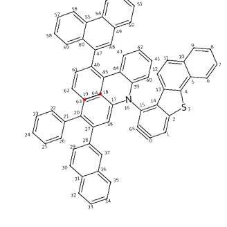 c1cc2sc3c4ccccc4ccc3c2c(N(c2ccc(-c3ccccc3)c(-c3ccc4ccccc4c3)c2)c2ccccc2C2=C(c3cc4ccccc4c4ccccc34)C=CCC2)c#1